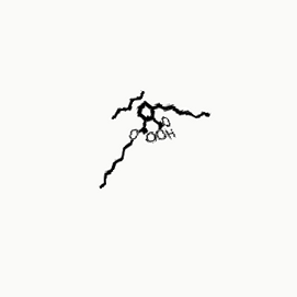 CCCCCC.CCCCCCCCOC(=O)c1cccc(CCCCCCCC)c1C(=O)O